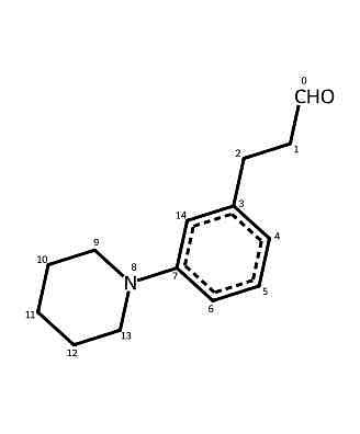 O=CCCc1cccc(N2CCCCC2)c1